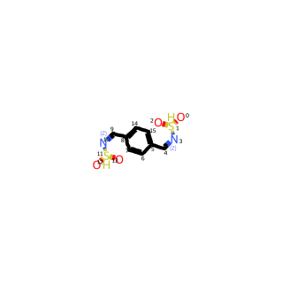 O=[SH](=O)/N=C\c1ccc(/C=N\[SH](=O)=O)cc1